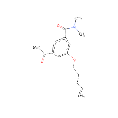 C=CCCCOc1cc(C(=O)OC)cc(C(=O)N(C)C)c1